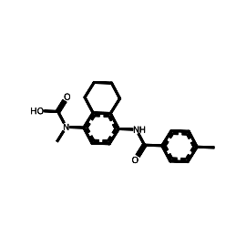 Cc1ccc(C(=O)Nc2ccc(N(C)C(=O)O)c3c2CCCC3)cc1